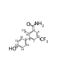 NC(=O)c1cc(C(F)(F)F)cc(-c2ccc(O)cc2)c1I